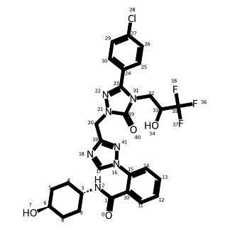 O=C(N[C@H]1CC[C@H](O)CC1)c1ccccc1-n1cnc(Cn2nc(-c3ccc(Cl)cc3)n(CC(O)C(F)(F)F)c2=O)n1